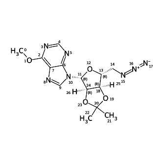 COc1ncnc2c1ncn2[C@@H]1O[C@H](CN=[N+]=[N-])[C@H]2OC(C)(C)O[C@H]21